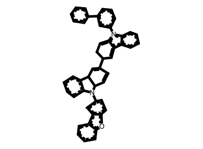 C1=CC2C(C=C1C1C=c3c(n(-c4cccc(-c5ccccc5)c4)c4ccccc34)=CC1)c1ccccc1N2c1ccc2oc3ccccc3c2c1